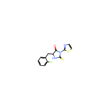 O=C1C(Cc2ccccc2F)NC(=S)N1c1nccs1